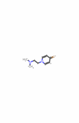 CN(C)CCn1ccc(=S)cc1